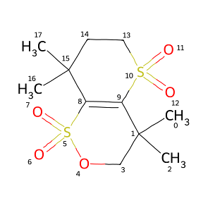 CC1(C)COS(=O)(=O)C2=C1S(=O)(=O)CCC2(C)C